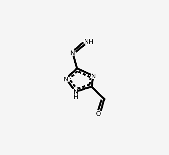 N=Nc1n[nH]c(C=O)n1